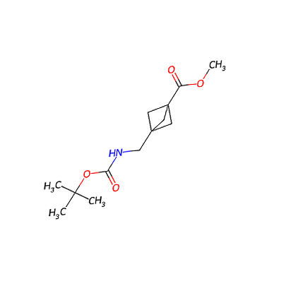 COC(=O)C12CC(CNC(=O)OC(C)(C)C)(C1)C2